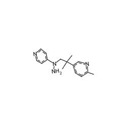 Cc1ccc(C(C)(C)CN(N)c2ccncc2)cn1